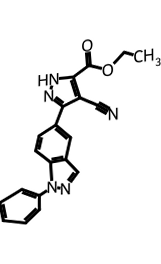 CCOC(=O)c1[nH]nc(-c2ccc3c(cnn3-c3ccccc3)c2)c1C#N